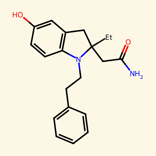 CCC1(CC(N)=O)Cc2cc(O)ccc2N1CCc1ccccc1